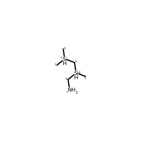 C[SiH](C)C[SiH](C)CN